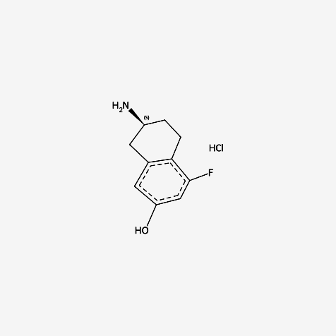 Cl.N[C@H]1CCc2c(F)cc(O)cc2C1